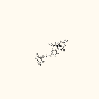 CC(=O)N1C[C@H]2CC(c3ccc(CCCOc4c(F)ccc(F)c4F)cc3)=C(C(=O)O)[C@@H](C1)N2